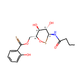 CCCC(=O)N[C@H]1SO[C@H](COC(=S)c2ccccc2O)[C@@H](O)[C@@H]1O